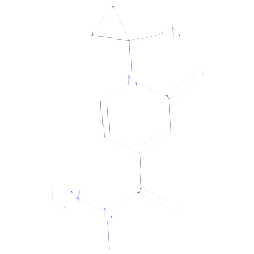 CN(N)C(=O)c1ccn(C2(C#N)CC2)c(=O)c1